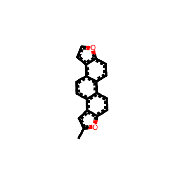 Cc1cc2c(ccc3c2ccc2c4ccoc4ccc23)o1